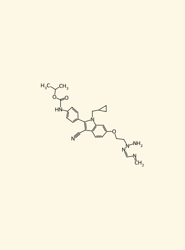 C=N/C=N\N(N)CCOc1ccc2c(C#N)c(-c3ccc(NC(=O)OC(C)C)cc3)n(CC3CC3)c2c1